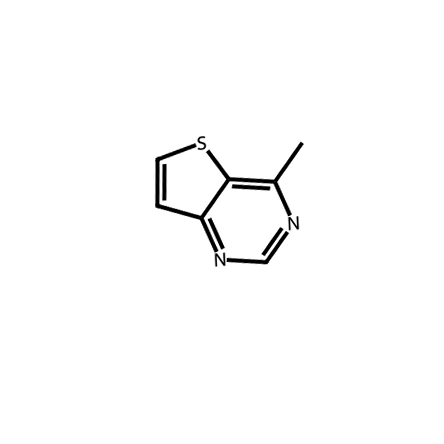 Cc1ncnc2ccsc12